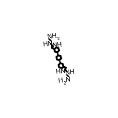 NCCNc1cc2cc(-c3ccc(-c4ccc5[nH]c(NCCN)cc5c4)cc3)ccc2[nH]1